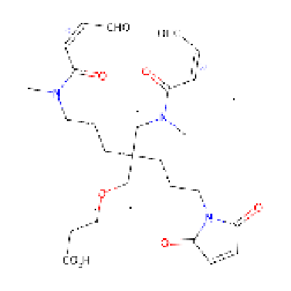 CN(CCCC(CCCN1C(=O)C=CC1=O)(COCCC(=O)O)CN(C)C(=O)/C=C\C=O)C(=O)/C=C\C=O